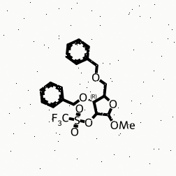 COC1OC(COCc2ccccc2)[C@@H](OCc2ccccc2)C1OS(=O)(=O)C(F)(F)F